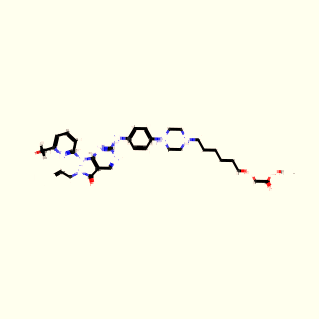 C=CCn1c(=O)c2cnc(Nc3ccc(N4CCN(CCCCCCOCC(=O)OC(C)(C)C)CC4)cc3)nc2n1-c1cccc(C(C)(C)O)n1